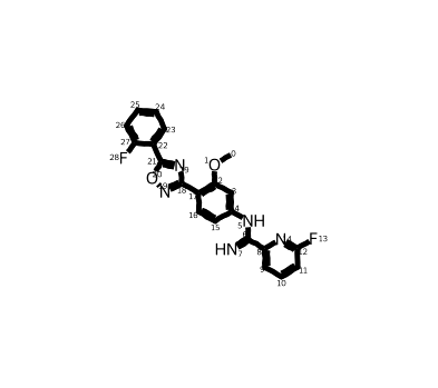 COc1cc(NC(=N)c2cccc(F)n2)ccc1-c1noc(-c2ccccc2F)n1